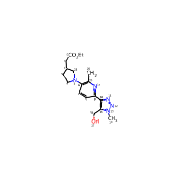 CCOC(=O)CC1CCN(c2ccc(-c3nnn(C)c3CO)nc2C)C1